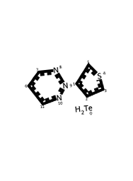 [TeH2].c1ccsc1.c1cnnnc1